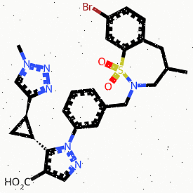 CC1Cc2ccc(Br)cc2S(=O)(=O)N(Cc2cccc(-n3ncc(C(=O)O)c3[C@@H]3C[C@H]3c3cn(C)nn3)c2)C1